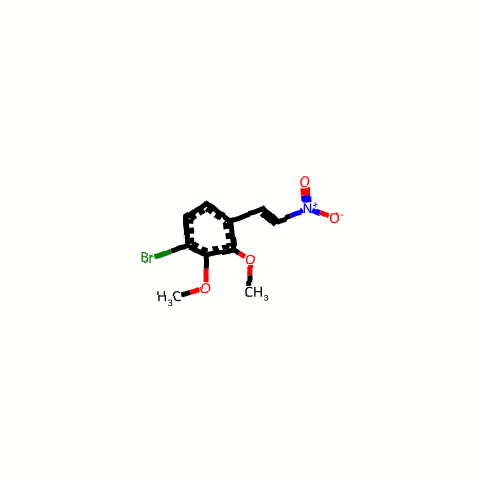 COc1c(Br)ccc(C=C[N+](=O)[O-])c1OC